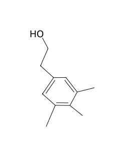 Cc1cc(CCO)cc(C)c1C